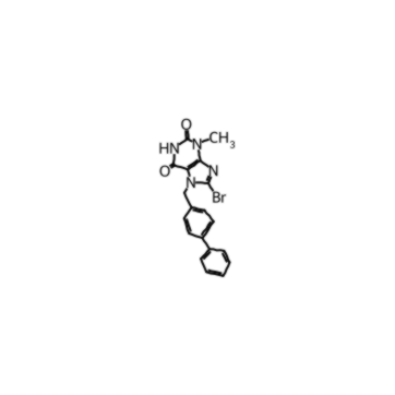 Cn1c(=O)[nH]c(=O)c2c1nc(Br)n2Cc1ccc(-c2ccccc2)cc1